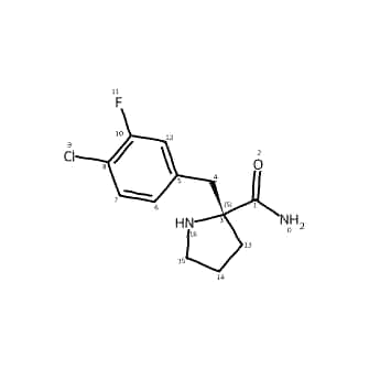 NC(=O)[C@]1([CH]c2ccc(Cl)c(F)c2)CCCN1